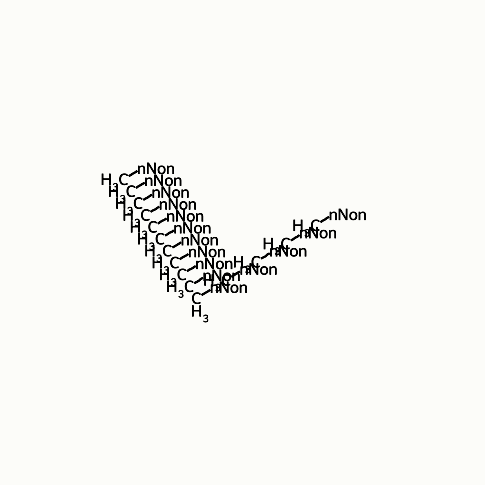 CCCCCCCCCC.CCCCCCCCCC.CCCCCCCCCC.CCCCCCCCCC.CCCCCCCCCC.CCCCCCCCCC.CCCCCCCCCC.CCCCCCCCCC.CCCCCCCCCC.CCCCCCCCCC.CCCCCCCCCC.CCCCCCCCCC.CCCCCCCCCC.CCCCCCCCCC.CCCCCCCCCC